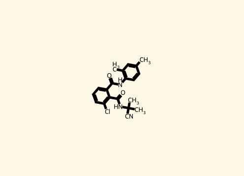 Cc1ccc(NC(=O)c2cccc(Cl)c2C(=O)NC(C)(C)C#N)c(C)c1